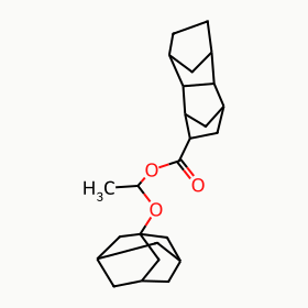 CC(OC(=O)C1CC2CC1C1C3CCC(C3)C21)OC12CC3CC(CC(C3)C1)C2